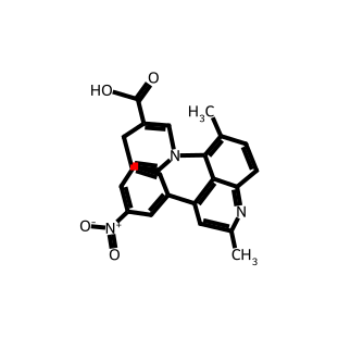 Cc1cc(-c2cccc([N+](=O)[O-])c2)c2c(N3C=CCC(C(=O)O)=C3)c(C)ccc2n1